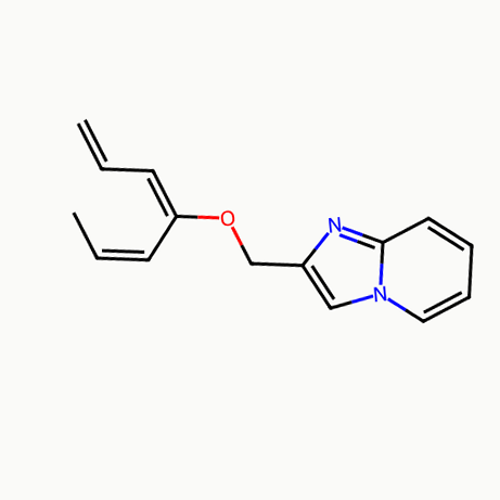 C=C/C=C(\C=C/C)OCc1cn2ccccc2n1